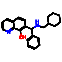 Oc1c(C(NCC2CCCCC2)c2ccccc2)ccc2cccnc12